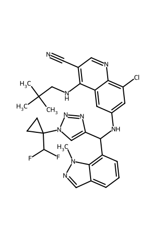 Cn1ncc2cccc(C(Nc3cc(Cl)c4ncc(C#N)c(NCC(C)(C)C)c4c3)c3cn(C4(C(F)F)CC4)nn3)c21